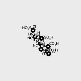 Cc1c(C#N)c(Nc2ccc(Cl)c(S(=O)(=O)O)c2)nc(Nc2ccc(Cl)c(S(=O)(=O)O)c2)c1N=Nc1sc(N=Nc2cc(C(=O)O)cc(C(=O)O)c2)c(-c2cccc(NC(=O)c3ccccc3C(=O)O)c2)c1C#N